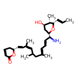 C/C=C/[C@@H]1O[C@H](C(N)/C=C/C=C(\C)CC(C)/C=C(C)\C=C\[C@H]2CC=CC(=O)O2)C[C@@H](O)[C@@H]1C